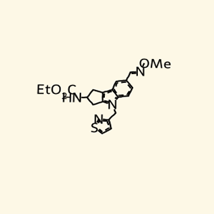 CCOC(=O)NC1Cc2c(n(Cc3ccsn3)c3ccc(C=NOC)cc23)C1